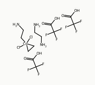 NCCN.NC[CH2][Co]1([Cl])([Cl])[CH2][CH2]1.O=C(O)C(F)(F)F.O=C(O)C(F)(F)F.O=C(O)C(F)(F)F